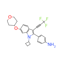 Nc1ccc(-c2c(C#CC(F)(F)F)c3ccc(OC4CCOCC4)cc3n2C2CCC2)cc1